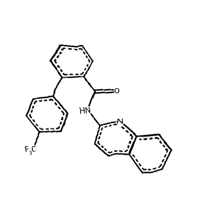 O=C(Nc1ccc2ccccc2n1)c1ccccc1-c1ccc(C(F)(F)F)cc1